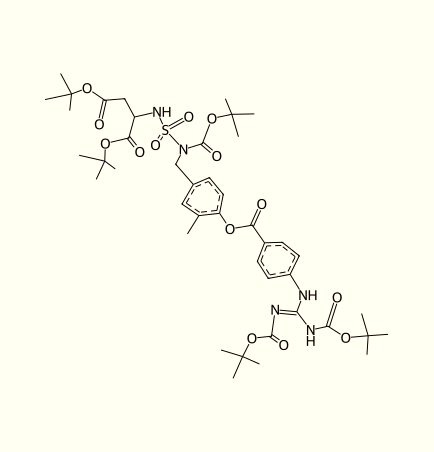 Cc1cc(CN(C(=O)OC(C)(C)C)S(=O)(=O)NC(CC(=O)OC(C)(C)C)C(=O)OC(C)(C)C)ccc1OC(=O)c1ccc(NC(=NC(=O)OC(C)(C)C)NC(=O)OC(C)(C)C)cc1